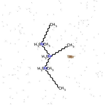 CCCCCCCCCCCC[N+](C)(C)CCCCCC[N+](C)(CCCCCCCCCCCC)CCCCCC[N+](C)(C)CCCCCCCCCCCC.[Br-].[Br-].[Br-]